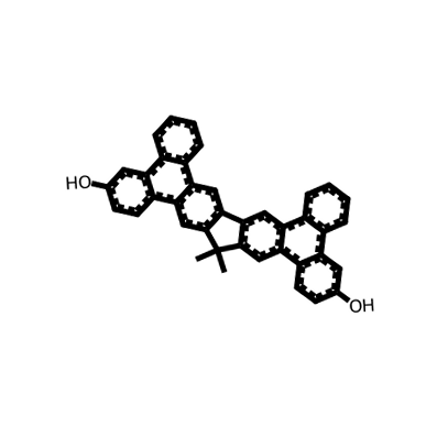 CC1(C)c2cc3c4ccc(O)cc4c4ccccc4c3cc2-c2cc3c4ccccc4c4cc(O)ccc4c3cc21